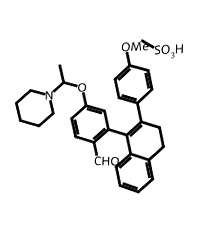 COc1ccc(C2=C(c3cc(OC(C)N4CCCCC4)ccc3C=O)c3ccccc3CC2)cc1.CS(=O)(=O)O